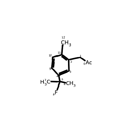 CC(=O)Cc1cc(C(C)(C)F)ccc1C